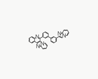 c1cc(-c2cccc(-c3nc4ccccc4c4nc5ccccn5c34)c2)cc(-c2cn3ccccc3n2)c1